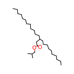 CCCCCCCCCCCCC(CCCCCCCCCC)CC(=O)OCC(C)C